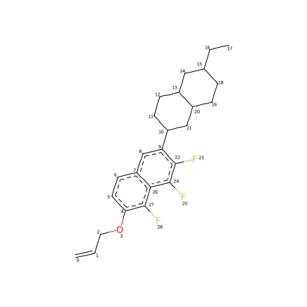 C=CCOc1ccc2cc(C3CCC4CC(CC)CCC4C3)c(F)c(F)c2c1F